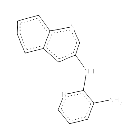 Nc1cccnc1Nc1cnc2ccccc2c1